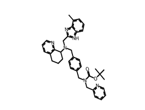 Cc1cccc2[nH]c(CN(Cc3ccc(CN(Cc4ccccn4)C(=O)OC(C)(C)C)cc3)C3CCCc4cccnc43)nc12